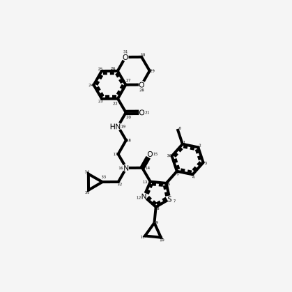 Cc1cccc(-c2sc(C3CC3)nc2C(=O)N(CCNC(=O)c2cccc3c2OCCO3)CC2CC2)c1